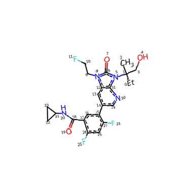 CCC(C)(CO)n1c(=O)n(CCF)c2cc(-c3cc(C(=O)NC4CC4)c(F)cc3F)cnc21